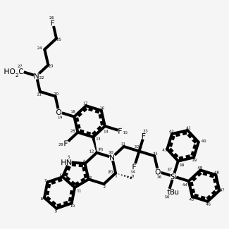 C[C@@H]1Cc2c([nH]c3ccccc23)[C@@H](c2c(F)ccc(OCCN(CCCF)C(=O)O)c2F)N1CC(F)(F)CO[Si](c1ccccc1)(c1ccccc1)C(C)(C)C